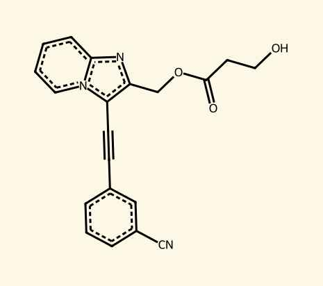 N#Cc1cccc(C#Cc2c(COC(=O)CCO)nc3ccccn23)c1